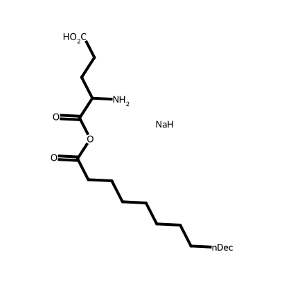 CCCCCCCCCCCCCCCCCC(=O)OC(=O)C(N)CCC(=O)O.[NaH]